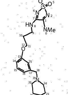 CNC1=NS(=O)(=O)N=C1NCCCOc1cccc(CN2CCCCC2)c1